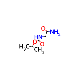 CC(C)OC(=O)NCC(N)=O